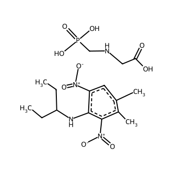 CCC(CC)Nc1c([N+](=O)[O-])cc(C)c(C)c1[N+](=O)[O-].O=C(O)CNCP(=O)(O)O